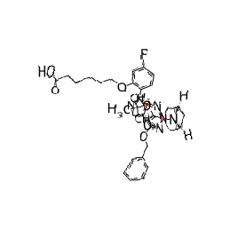 CC(C)(C)OC(=O)N1C[C@H]2C[C@@H](C1)N2c1nc(OCc2ccccc2)c2cnn(-c3ccc(F)cc3OCCCCCC(=O)O)c2n1